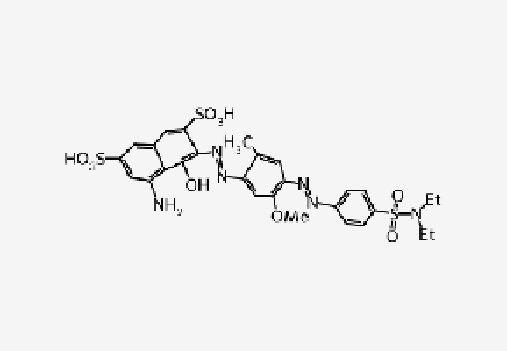 CCN(CC)S(=O)(=O)c1ccc(N=Nc2cc(C)c(N=Nc3c(S(=O)(=O)O)cc4cc(S(=O)(=O)O)cc(N)c4c3O)cc2OC)cc1